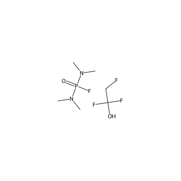 CN(C)P(=O)(F)N(C)C.OC(F)(F)CF